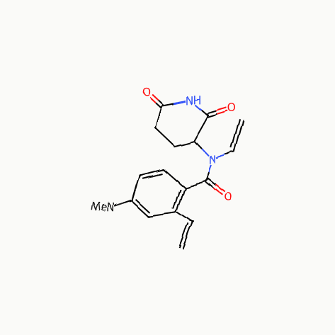 C=Cc1cc(NC)ccc1C(=O)N(C=C)C1CCC(=O)NC1=O